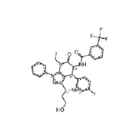 CCN1C(=O)[C@@H](NC(=O)c2cccc(C(F)(F)F)c2)[C@@H](c2ccc(F)cc2)c2c([C@H](N)CCO)nn(-c3ccccc3)c21